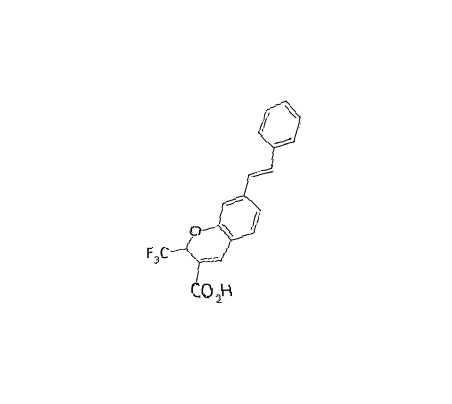 O=C(O)C1=Cc2ccc(C=Cc3ccccc3)cc2OC1C(F)(F)F